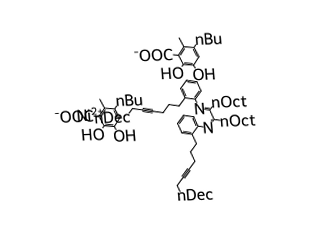 CCCCCCCCCCCC#CCCCc1ccccc1N=C(CCCCCCCC)C(CCCCCCCC)=Nc1ccccc1CCCC#CCCCCCCCCCCC.CCCCc1cc(O)c(O)c(C(=O)[O-])c1C.CCCCc1cc(O)c(O)c(C(=O)[O-])c1C.[Ni+2]